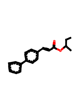 CCC(C)OC(=O)/C=C/c1ccc(-c2ccccc2)cc1